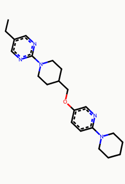 CCc1cnc(N2CCC(COc3ccc(N4CCCCC4)nc3)CC2)nc1